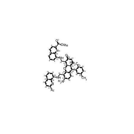 COC(=O)c1ccc2cccc(NCc3c4oc5c(CNc6cccc7ccc(C(C)=O)nc67)c(N)ccc5c(-c5cc(C)ccc5C(=O)O)c-4ccc3=O)c2n1